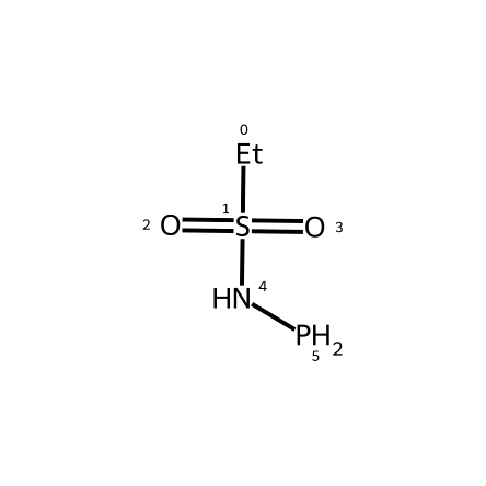 CCS(=O)(=O)NP